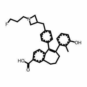 Cc1c(O)cccc1C1=C(c2ccc(CC3CN(CCCF)C3)cc2)c2ccc(C(=O)O)cc2CCC1